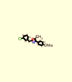 COc1ccc(-c2nc(Cc3cccc(Cl)c3)oc2C)cc1